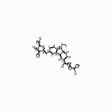 CCn1c2ccc(/C=C3\S/C(=N\C)N(C)C3=O)cc2c2cc(/C(C)=N/OC(C)=O)ccc21